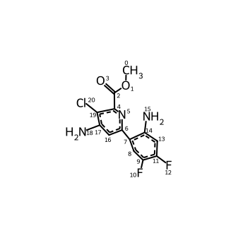 COC(=O)c1nc(-c2cc(F)c(F)cc2N)cc(N)c1Cl